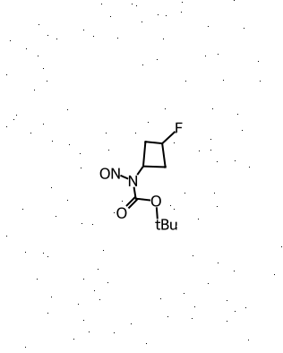 CC(C)(C)OC(=O)N(N=O)C1CC(F)C1